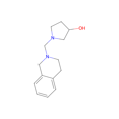 OC1CCN(CN2[C]c3ccccc3CC2)C1